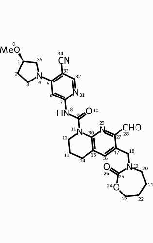 CO[C@@H]1CCN(c2cc(NC(=O)N3CCCc4cc(CN5CCCCOC5=O)c(C=O)nc43)ncc2C#N)C1